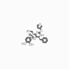 CC(C)CN(C[C@@H](O)[C@H](Cc1ccccc1)NC(=O)OC1CCOC1)S(=O)(=O)c1ccc(O)c(O)c1